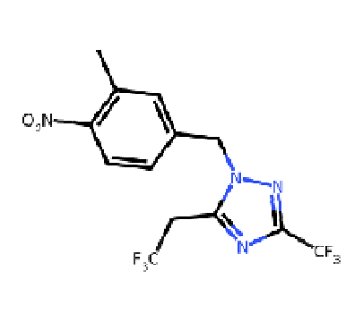 Cc1cc(Cn2nc(C(F)(F)F)nc2CC(F)(F)F)ccc1[N+](=O)[O-]